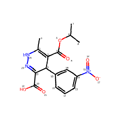 CC1=C(C(=O)OC(C)C)C(c2cccc([N+](=O)[O-])c2)C(C(=O)O)=NN1